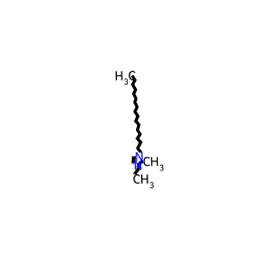 CCCCCCCCCCCCCCCCCCN1C=CN(CCC)C1C